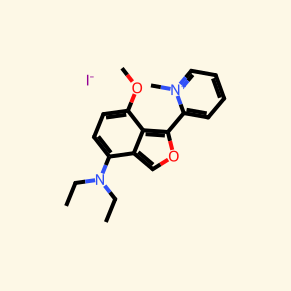 CCN(CC)c1ccc(OC)c2c(-c3cccc[n+]3C)occ12.[I-]